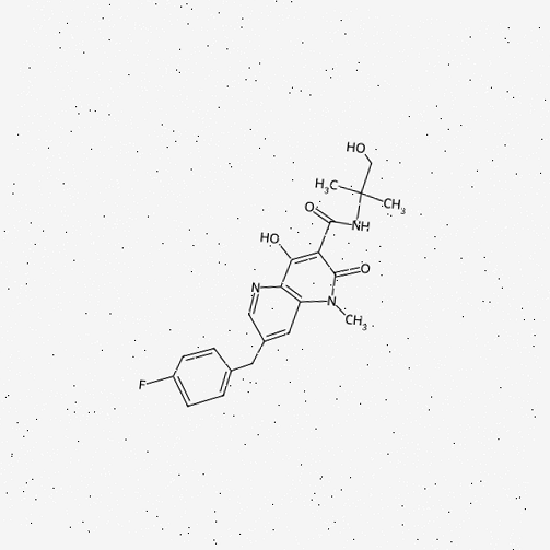 Cn1c(=O)c(C(=O)NC(C)(C)CO)c(O)c2ncc(Cc3ccc(F)cc3)cc21